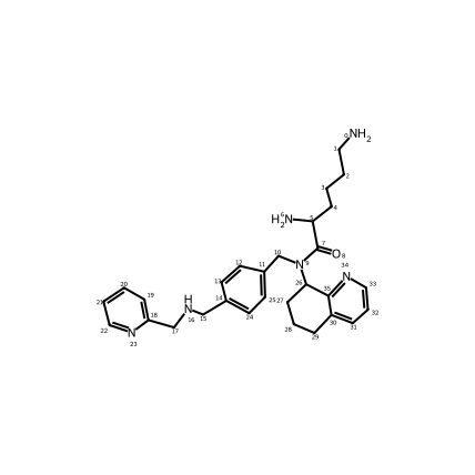 NCCCCC(N)C(=O)N(Cc1ccc(CNCc2ccccn2)cc1)C1CCCc2cccnc21